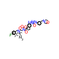 CC(N(Cc1ccc(F)cc1)C(=O)CN1C(=O)O[C@@]2(CCc3cc(NC(=O)Nc4cccc(CN5CCOCC5)c4)ccc32)C1=O)C(F)(F)F